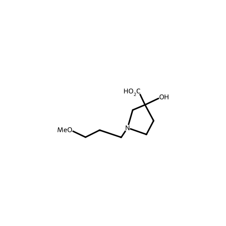 COCCCN1CCC(O)(C(=O)O)C1